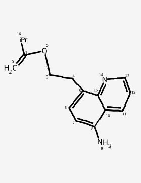 C=C(OCCc1ccc(N)c2cccnc12)C(C)C